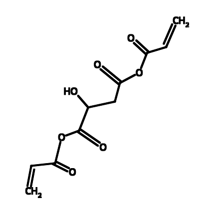 C=CC(=O)OC(=O)CC(O)C(=O)OC(=O)C=C